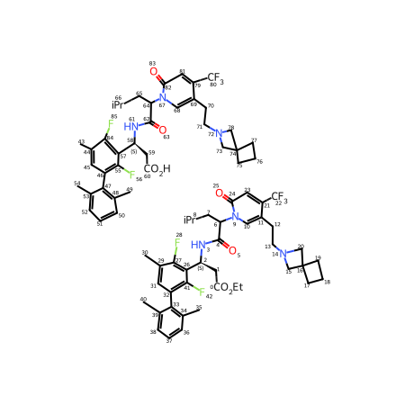 CCOC(=O)C[C@H](NC(=O)C(CC(C)C)n1cc(CCN2CC3(CCC3)C2)c(C(F)(F)F)cc1=O)c1c(F)c(C)cc(-c2c(C)cccc2C)c1F.Cc1cc(-c2c(C)cccc2C)c(F)c([C@H](CC(=O)O)NC(=O)C(CC(C)C)n2cc(CCN3CC4(CCC4)C3)c(C(F)(F)F)cc2=O)c1F